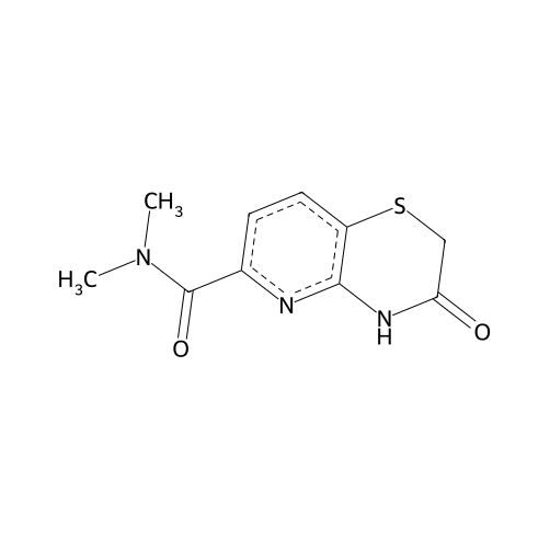 CN(C)C(=O)c1ccc2c(n1)NC(=O)CS2